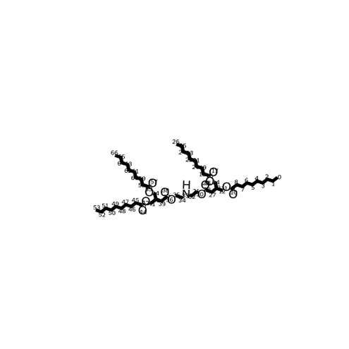 CCCCCCCCCC(=O)OCC(COC(=O)CCCCCCCCC)CC(=O)OCCNCCOC(=O)CC(COC(=O)CCCCCCCCC)COC(=O)CCCCCCCCC